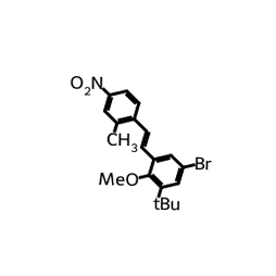 COc1c(/C=C/c2ccc([N+](=O)[O-])cc2C)cc(Br)cc1C(C)(C)C